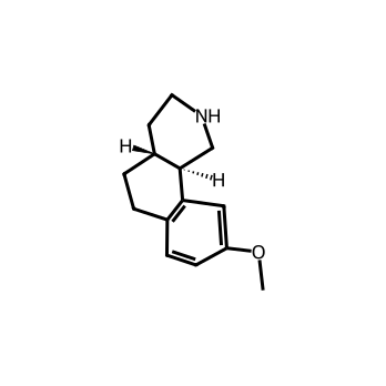 COc1ccc2c(c1)[C@@H]1CNCC[C@H]1CC2